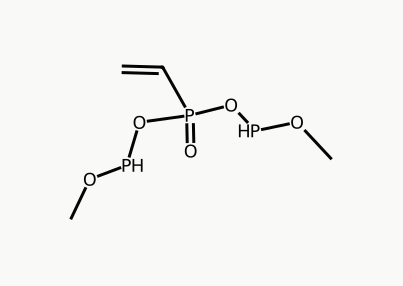 C=CP(=O)(OPOC)OPOC